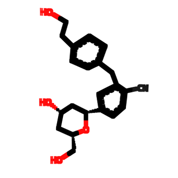 N#Cc1ccc([C@H]2C[C@@H](O)C[C@@H](CO)O2)cc1Cc1ccc(CCO)cc1